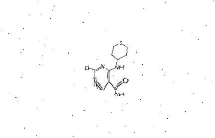 O=C(O)c1cnc(Cl)nc1NC1CCSCC1